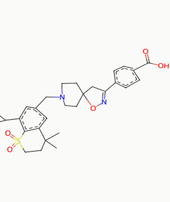 CC1(C)CCS(=O)(=O)c2c(C3CC3)cc(CN3CCC4(CC3)CC(c3ccc(C(=O)O)cc3)=NO4)cc21